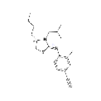 CCCC[C@H]1CS/C(=N\c2ccc(C#N)cc2C)N1CC(C)C